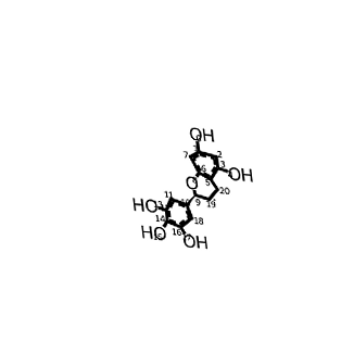 Oc1cc(O)c2c(c1)O[C@H](c1cc(O)c(O)c(O)c1)[CH]C2